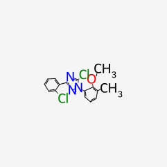 CCOc1c(C)cccc1-n1nc(-c2ccccc2Cl)nc1Cl